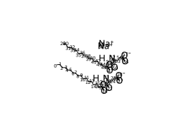 CCCCCCCCCCCCCCCCCC(=O)OC(=O)[C@@H](N)CCC(=O)[O-].CCCCCCCCCCCCCCCCCC(=O)OC(=O)[C@@H](N)CCC(=O)[O-].[Na+].[Na+]